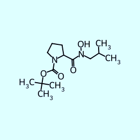 CC(C)CN(O)C(=O)C1CCCN1C(=O)OC(C)(C)C